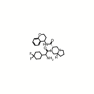 N[C@H](C(=O)N1C[C@H]2CCCN2C[C@H]1C(=O)N[C@@H]1CCOc2ccccc21)C1CCC(F)(F)CC1